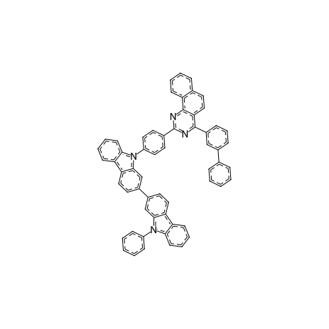 c1ccc(-c2cccc(-c3nc(-c4ccc(-n5c6ccccc6c6ccc(-c7ccc8c9ccccc9n(-c9ccccc9)c8c7)cc65)cc4)nc4c3ccc3ccccc34)c2)cc1